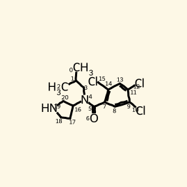 CC(C)CN(C(=O)c1cc(Cl)c(Cl)cc1Cl)C1CCNC1